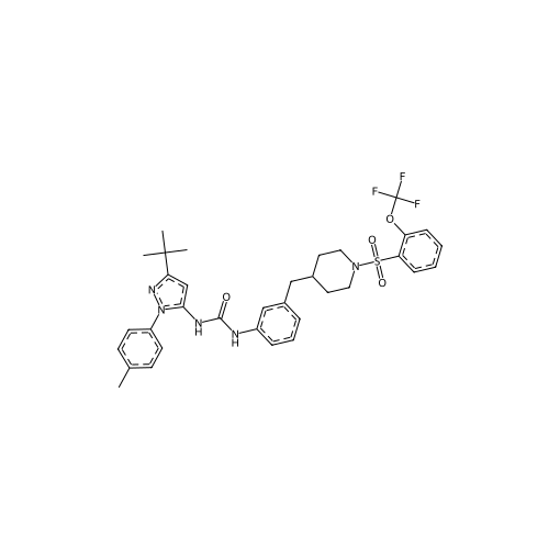 Cc1ccc(-n2nc(C(C)(C)C)cc2NC(=O)Nc2cccc(CC3CCN(S(=O)(=O)c4ccccc4OC(F)(F)F)CC3)c2)cc1